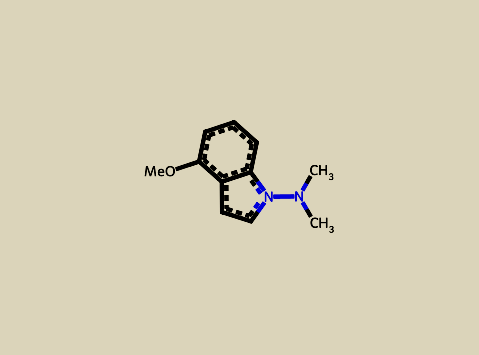 COc1cccc2c1ccn2N(C)C